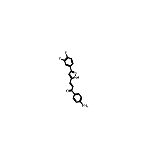 Nc1ccc(C(=O)C=Cc2cc(-c3ccc(F)c(F)c3)n[nH]2)cc1